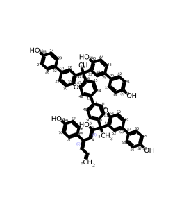 C=C/C=C(\C=C(/O)C(C)(c1ccc(-c2ccc(C(C)(c3cc(-c4ccc(O)cc4)ccc3O)c3cc(-c4ccc(O)cc4)ccc3O)cc2)cc1)c1cc(-c2ccc(O)cc2)ccc1O)c1ccc(O)cc1